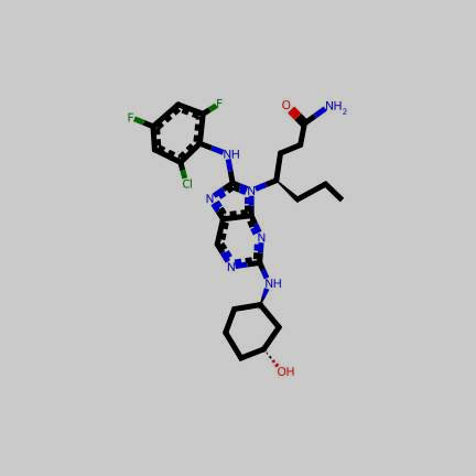 CCC[C@H](CCC(N)=O)n1c(Nc2c(F)cc(F)cc2Cl)nc2cnc(N[C@@H]3CCC[C@@H](O)C3)nc21